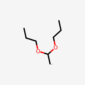 [CH2]C(OCCC)OCCC